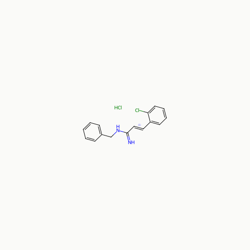 Cl.N=C(/C=C/c1ccccc1Cl)NCc1ccccc1